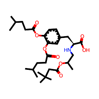 CC(C)CCC(=O)Oc1ccc(C[C@H](NCC(C)OC(=O)CC(C)(C)C)C(=O)O)cc1OC(=O)CCC(C)C